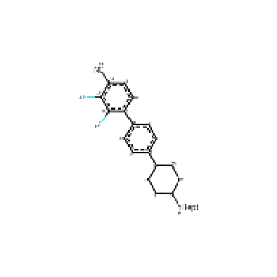 CCCCCCCC1CCC(c2ccc(-c3ccc(C#N)c(F)c3F)cc2)CC1